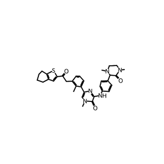 Cc1c(CC(=O)c2cc3c(s2)CCCC3)cccc1-c1cn(C)c(=O)c(Nc2ccc(C3C(=O)N(C)CCN3C)cc2)n1